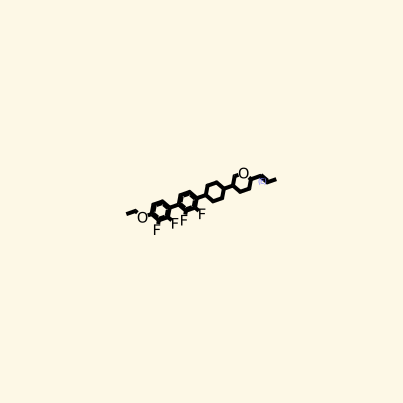 C/C=C/C1CCC(C2CCC(c3ccc(-c4ccc(OCC)c(F)c4F)c(F)c3F)CC2)CO1